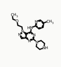 CCOCCn1ncc2nc(N3CCNCC3)nc(Nc3ccc(C)cn3)c21